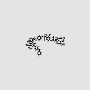 COc1cc(CNC[C@H](O)c2ccc(O)c3[nH]c(=O)ccc23)ccc1C(=O)NCc1ccc(COc2cccc([C@@](O)(C(=O)O)c3ccccc3CC3CCN(Cc4ccccc4)CC3)c2)cc1